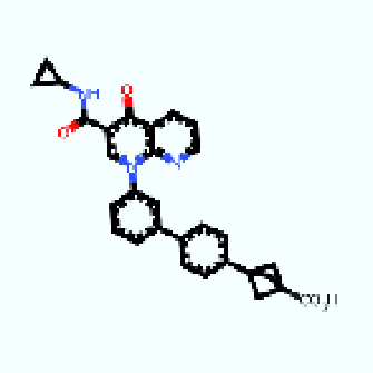 O=C(NC1CC1)c1cn(-c2cccc(-c3ccc(C45CC(C(=O)O)(C4)C5)cc3)c2)c2ncccc2c1=O